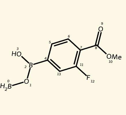 BOB(O)c1ccc(C(=O)OC)c(F)c1